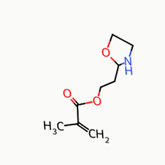 C=C(C)C(=O)OCCC1NCCO1